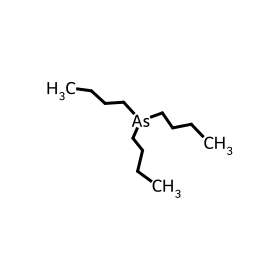 CCCC[As](CCCC)CCCC